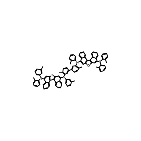 Cc1cccc(N(c2ccccc2C)c2cc3oc4cc(N(c5cccc(C)c5)c5cc(-c6ccc(C)c(N(c7ccccc7C)c7cc8oc9cc(N(c%10ccccc%10C)c%10ccccc%10C)c%10ccccc%10c9c8c8ccccc78)c6)ccc5C)c5ccccc5c4c3c3ccccc23)c1